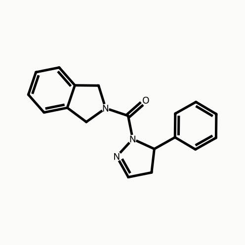 O=C(N1Cc2ccccc2C1)N1N=CCC1c1ccccc1